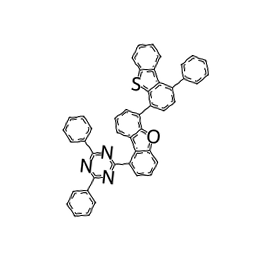 c1ccc(-c2nc(-c3ccccc3)nc(-c3cccc4oc5c(-c6ccc(-c7ccccc7)c7c6sc6ccccc67)cccc5c34)n2)cc1